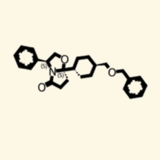 O=C1CC[C@@]2([C@H]3CC[C@H](COCc4ccccc4)CC3)OC[C@H](c3ccccc3)N12